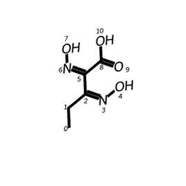 CCC(=NO)C(=NO)C(=O)O